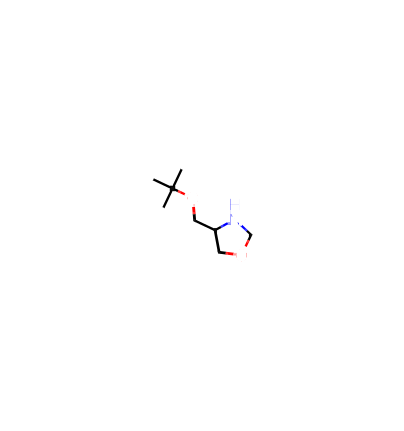 CC(C)(C)OCC1COCN1